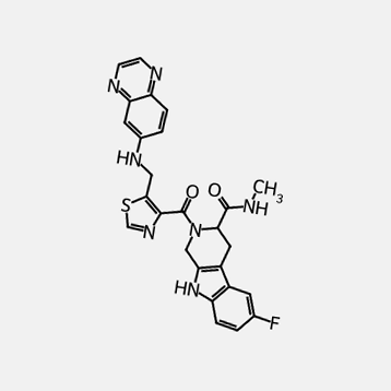 CNC(=O)C1Cc2c([nH]c3ccc(F)cc23)CN1C(=O)c1ncsc1CNc1ccc2nccnc2c1